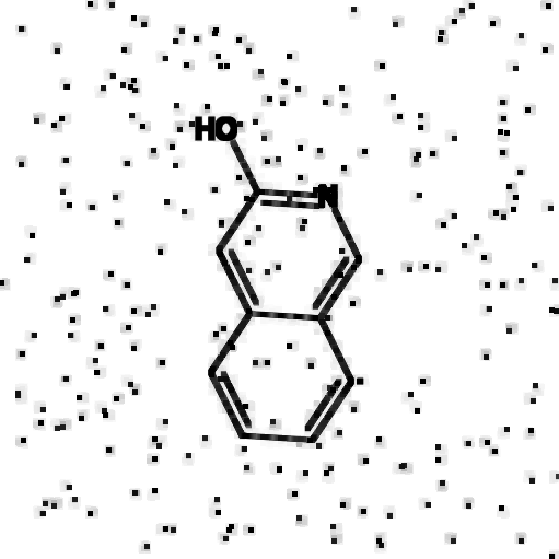 Oc1cc2ccc[c]c2cn1